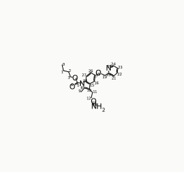 CCCCOC(=O)n1c(C)c(CCON)c2cc(OCc3ccccn3)ccc21